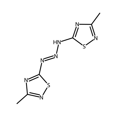 Cc1nsc(N=NNc2nc(C)ns2)n1